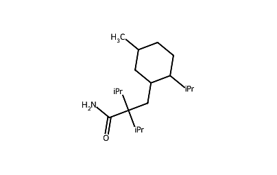 CC1CCC(C(C)C)C(CC(C(N)=O)(C(C)C)C(C)C)C1